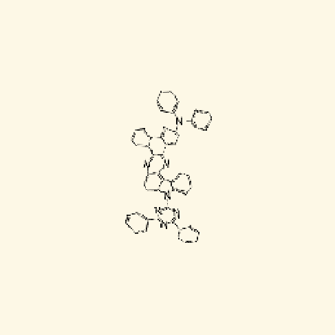 c1ccc(-c2nc(-c3ccccc3)nc(-n3c4ccccc4c4c5nc6c7ccc(N(c8ccccc8)c8ccccc8)cc7c7ccccc7c6nc5ccc43)n2)cc1